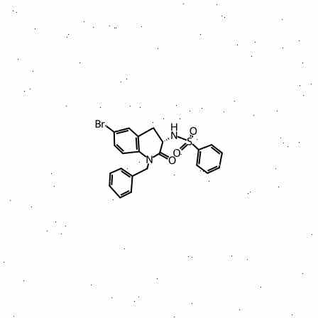 O=C1[C@@H](NS(=O)(=O)c2ccccc2)Cc2cc(Br)ccc2N1Cc1ccccc1